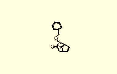 O=C1C2C=CC1N(OCc1ccccc1)C(=O)C2